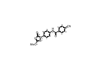 COc1nn(-c2ccc(NC(=O)c3ccc(C#N)cc3)cc2)c(=O)o1